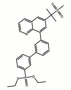 CCOP(=O)(OCC)c1cccc(-c2cccc(-c3cc(C(C)(C)S(C)(=O)=O)cc4cccnc34)c2)c1